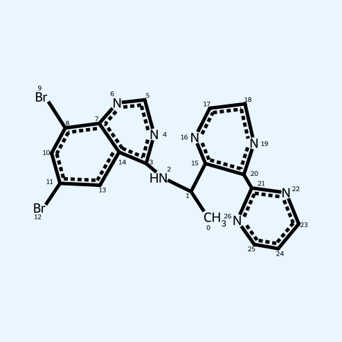 CC(Nc1ncnc2c(Br)cc(Br)cc12)c1nccnc1-c1ncccn1